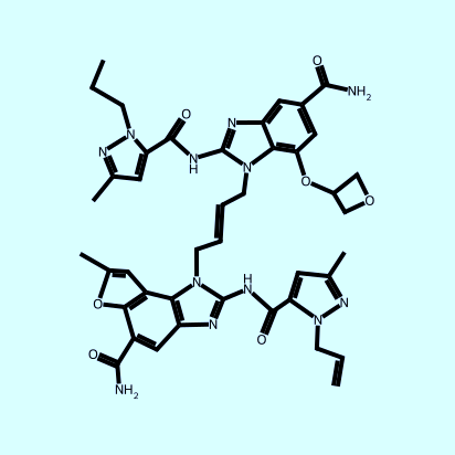 C=CCn1nc(C)cc1C(=O)Nc1nc2cc(C(N)=O)c3oc(C)cc3c2n1C/C=C/Cn1c(NC(=O)c2cc(C)nn2CCC)nc2cc(C(N)=O)cc(OC3COC3)c21